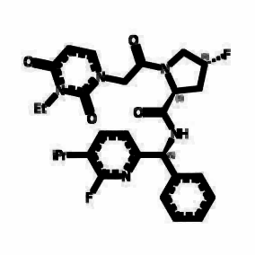 CCn1c(=O)ccn(CC(=O)N2C[C@H](F)C[C@H]2C(=O)N[C@@H](c2ccccc2)c2ccc(C(C)C)c(F)n2)c1=O